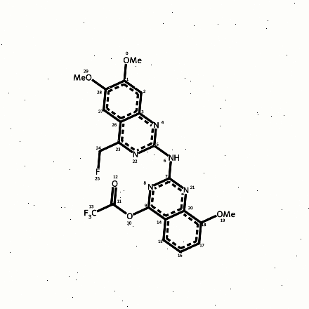 COc1cc2nc(Nc3nc(OC(=O)C(F)(F)F)c4cccc(OC)c4n3)nc(CF)c2cc1OC